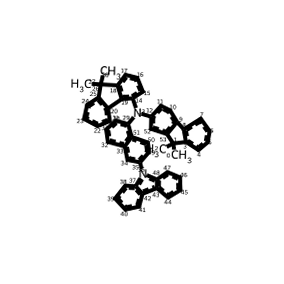 CC1(C)c2ccccc2-c2ccc(N(c3cccc4c3-c3ccccc3C4(C)C)c3cccc4cc(-n5c6ccccc6c6ccccc65)ccc34)cc21